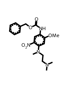 COc1cc(N(C)CCN(C)C)c([N+](=O)[O-])cc1NC(=O)OCc1ccccc1